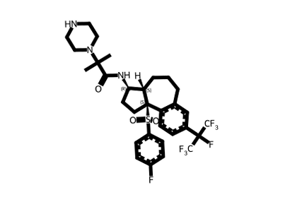 CC(C)(C(=O)N[C@@H]1CC[C@@]2(S(=O)(=O)c3ccc(F)cc3)c3ccc(C(F)(C(F)(F)F)C(F)(F)F)cc3CCC[C@@H]12)N1CCNCC1